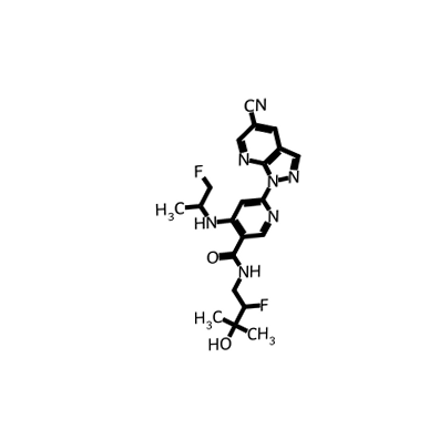 CC(CF)Nc1cc(-n2ncc3cc(C#N)cnc32)ncc1C(=O)NCC(F)C(C)(C)O